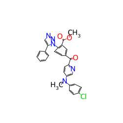 COC(=O)c1cc(C(=O)c2ccc(N(C)c3ccc(Cl)cc3)cn2)ccc1-n1nncc1-c1ccccc1